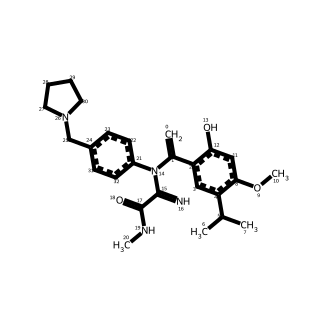 C=C(c1cc(C(C)C)c(OC)cc1O)N(C(=N)C(=O)NC)c1ccc(CN2CCCC2)cc1